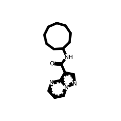 O=C(NC1CCCCCCCC1)c1cnn2cccnc12